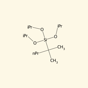 CCCC(C)(C)[Si](OC(C)C)(OC(C)C)OC(C)C